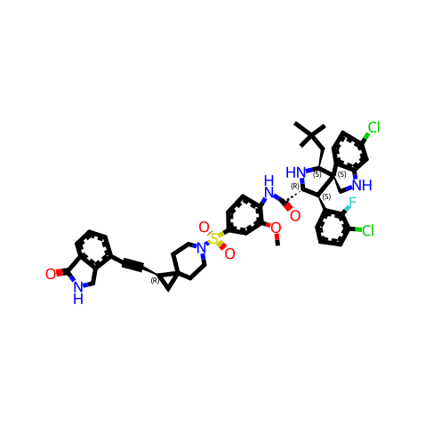 COc1cc(S(=O)(=O)N2CCC3(CC2)C[C@H]3C#Cc2cccc3c2CNC3=O)ccc1NC(=O)[C@@H]1N[C@@H](CC(C)(C)C)[C@@]2(CNc3cc(Cl)ccc32)[C@H]1c1cccc(Cl)c1F